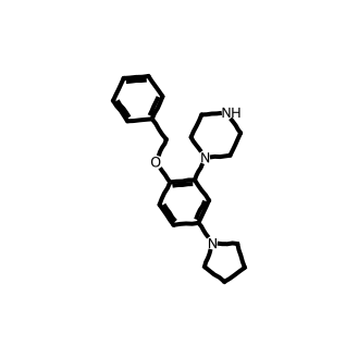 c1ccc(COc2ccc(N3CCCC3)cc2N2CCNCC2)cc1